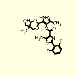 Cc1n[nH]c(C2OCC(C)(CO)CO2)c1NC(=O)c1nc(-c2c(F)cccc2F)sc1N